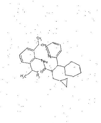 CC(C)c1cccc(C(C)C)c1NC(=O)N(CC1CC1)C(c1ccccn1)C1CCCCC1